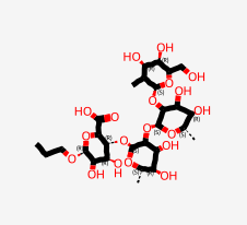 CCCO[C@@H]1OC(C(=O)O)[C@H](O[C@@H]2O[C@@H](C)[C@H](O)C(O)C2O[C@@H]2O[C@@H](C)[C@H](O)C(O)C2O[C@@H]2OC(CO)[C@H](O)[C@H](O)C2C)[C@H](O)C1O